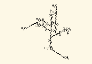 CCCCCCCCCCCCSCC(C)C(=O)OCCOC(=O)CCN(CCCCN(CCCN(CCC(=O)OCCOC(=O)C(C)CS)CCC(=O)OCCOC(=O)C(C)CSCCCCCCCCCCCC)CCC(=O)OCCOC(=O)C(C)CS)CCCN(CCC(=O)OCCOC(=O)C(C)CS)CCC(=O)OCCOC(=O)C(C)CSCCCCCCCCCCCC